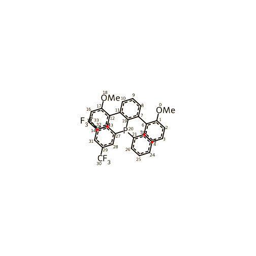 COc1ccccc1-c1cccc(-c2ccccc2OC)c1P(c1ccccc1)c1cc(C(F)(F)F)cc(C(F)(F)F)c1